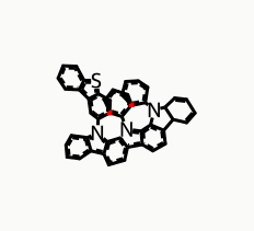 C1=CC2c3ccc4c5ccc6c7ccccc7n(-c7ccc8sc9ccccc9c8c7)c6c5n(-c5ccccc5)c4c3N(c3ccccc3)C2C=C1